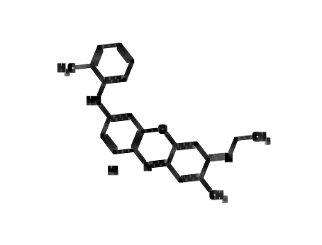 CCN=c1cc2oc3cc(Nc4ccccc4C)ccc3nc-2cc1C.I